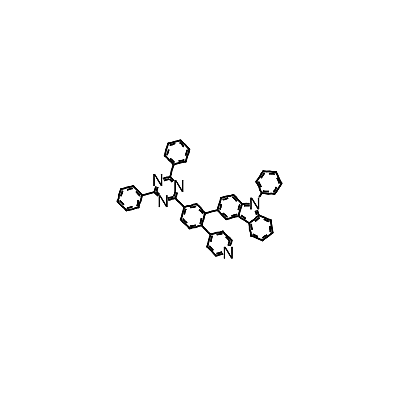 c1ccc(-c2nc(-c3ccccc3)nc(-c3ccc(-c4ccncc4)c(-c4ccc5c(c4)c4ccccc4n5-c4ccccc4)c3)n2)cc1